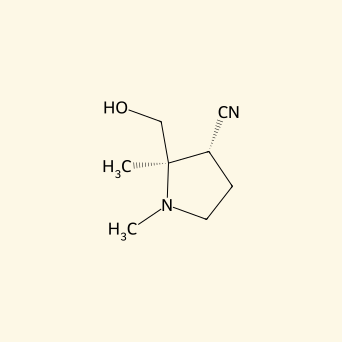 CN1CC[C@@H](C#N)[C@]1(C)CO